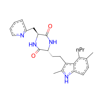 CCCc1c(C)ccc2[nH]c(C)c(CC[C@H]3NC(=O)[C@H](Cc4ccccn4)NC3=O)c12